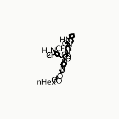 CCCCCCOC(=O)COC1CN(C2CCN(C(=O)[C@@H](Cc3cc(Cl)c(N)c(C(F)(F)F)c3)OC(=O)N3CCC(N4CCc5ccccc5NC4=O)CC3)CC2)C1